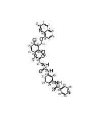 Cc1ccc2cccc(OCc3c(Cl)ccc(N(C)C(=O)CNC(=O)Nc4cccc(NC(=O)c5ccncc5)c4)c3Cl)c2n1